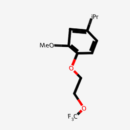 COc1cc(C(C)C)ccc1OCCOC(F)(F)F